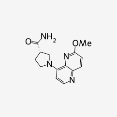 COc1ccc2nccc(N3CC[C@H](C(N)=O)C3)c2n1